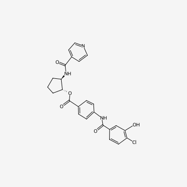 O=C(Nc1ccc(C(=O)O[C@@H]2CCC[C@H]2NC(=O)c2ccncc2)cc1)c1ccc(Cl)c(O)c1